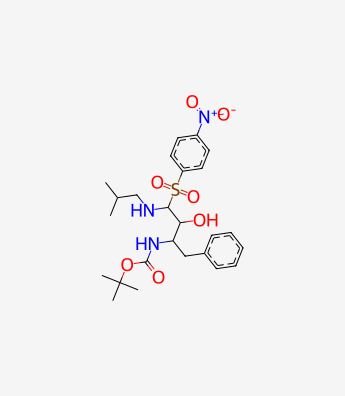 CC(C)CNC(C(O)C(Cc1ccccc1)NC(=O)OC(C)(C)C)S(=O)(=O)c1ccc([N+](=O)[O-])cc1